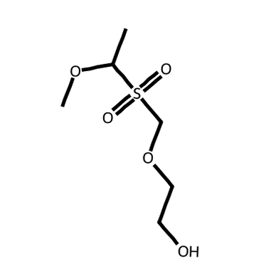 COC(C)S(=O)(=O)COCCO